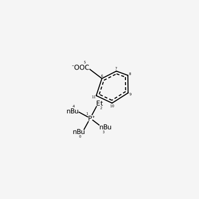 CCCC[P+](CC)(CCCC)CCCC.O=C([O-])c1ccccc1